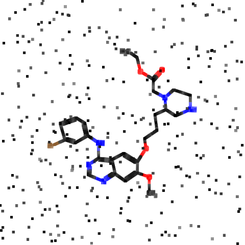 CCOC(=O)CN1CCNCC1CCCOc1cc2c(Nc3cccc(Br)c3)ncnc2cc1OC